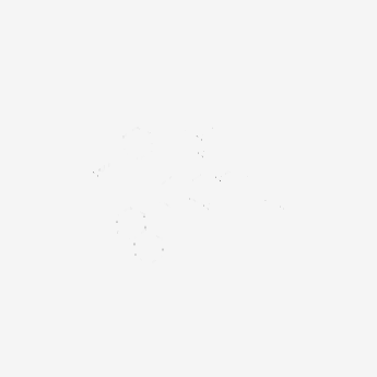 C=N/C(=C1/C=C(Cc2ccccc2C#N)C(c2cc(C)cc3ccccc23)=C/C1=N/CCCC12CCCN1CCC2)N1CC2CCC(C1)N2